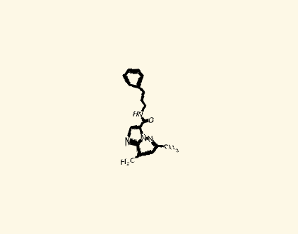 Cc1cc(C)c2ncc(C(=O)NCCCc3ccccc3)n2n1